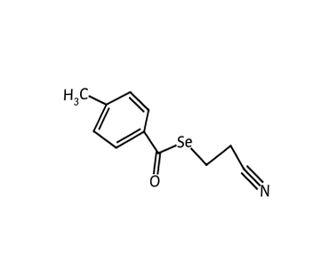 Cc1ccc(C(=O)[Se]CCC#N)cc1